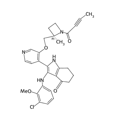 CC#CC(=O)N1CC[C@]1(C)COc1cnccc1-c1[nH]c2c(c1Nc1cccc(Cl)c1OC)C(=O)CCC2